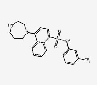 O=S(=O)(Nc1cccc(C(F)(F)F)c1)c1ccc(N2CCCNCC2)c2ccccc12